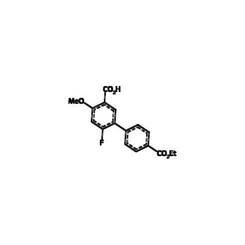 CCOC(=O)c1ccc(-c2cc(C(=O)O)c(OC)cc2F)cc1